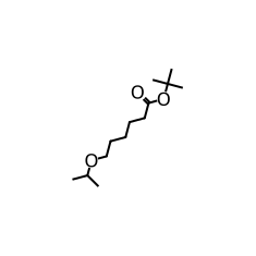 CC(C)OCCCCCC(=O)OC(C)(C)C